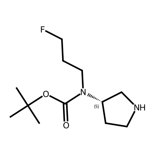 CC(C)(C)OC(=O)N(CCCF)[C@H]1CCNC1